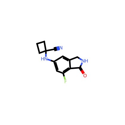 N#CC1(Nc2cc(F)c3c(c2)CNC3=O)CCC1